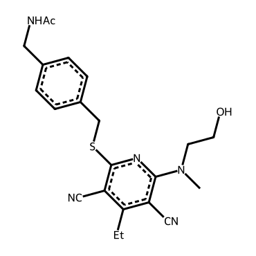 CCc1c(C#N)c(SCc2ccc(CNC(C)=O)cc2)nc(N(C)CCO)c1C#N